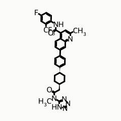 Cc1cc(C(=O)Nc2ccc(F)cc2C(F)(F)F)c2ccc(-c3ccc([C@H]4CC[C@H](CC(=O)N(C)c5nnn[nH]5)CC4)cc3)cc2n1